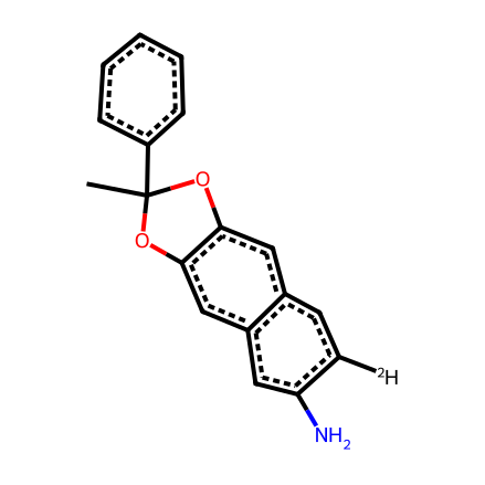 [2H]c1cc2cc3c(cc2cc1N)OC(C)(c1ccccc1)O3